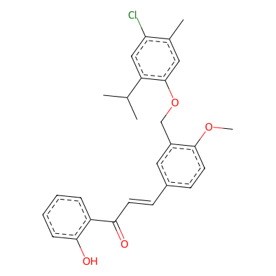 COc1ccc(C=CC(=O)c2ccccc2O)cc1COc1cc(C)c(Cl)cc1C(C)C